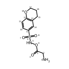 NCC(=O)ONS(=O)(=O)c1ccc2c(c1)CCCO2